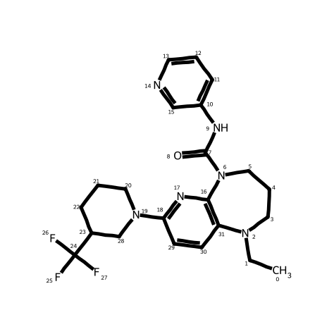 CCN1CCCN(C(=O)Nc2cccnc2)c2nc(N3CCCC(C(F)(F)F)C3)ccc21